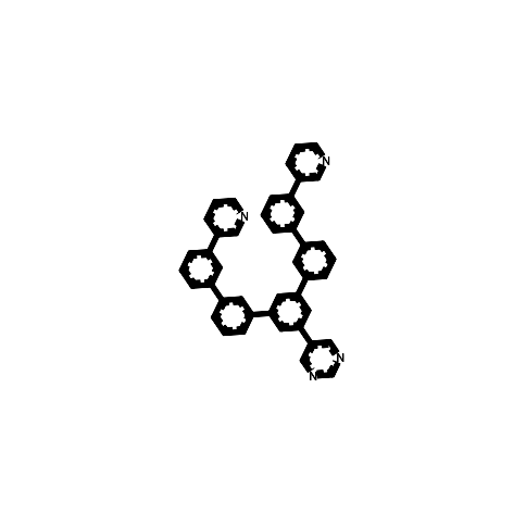 c1cncc(-c2cccc(-c3cccc(-c4cc(-c5cncnc5)cc(-c5cccc(-c6cccc(-c7cccnc7)c6)c5)c4)c3)c2)c1